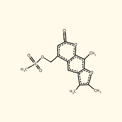 Cc1oc2c(C)c3oc(=O)cc(COS(C)(=O)=O)c3cc2c1C